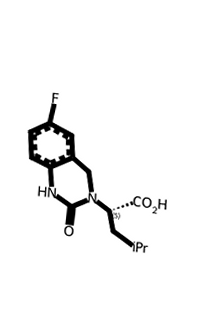 CC(C)C[C@@H](C(=O)O)N1Cc2cc(F)ccc2NC1=O